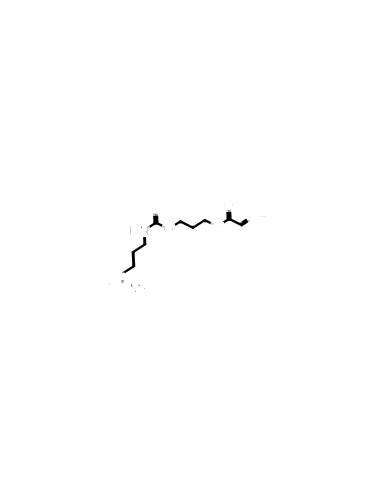 C=CC(=O)OCCCOC(=O)NCCC[SiH2]OC